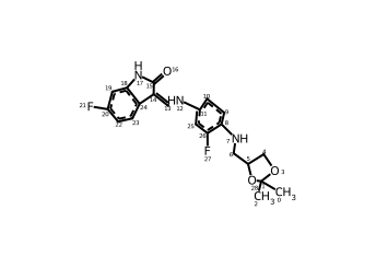 CC1(C)OCC(CNc2ccc(NC=C3C(=O)Nc4cc(F)ccc43)cc2F)O1